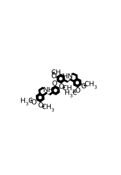 COc1cc2c(cc1OC)[C@@H](Cc1ccc(OC)c(Oc3cc(C[C@H]4NCCc5cc(OC)c(OC)cc54)ccc3OC)c1)NCC2